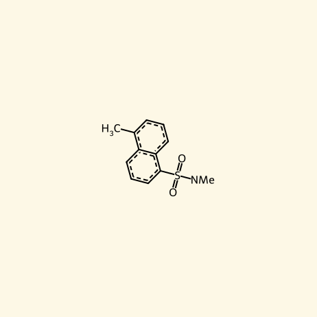 CNS(=O)(=O)c1cccc2c(C)cccc12